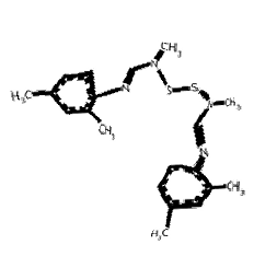 Cc1ccc(N=CN(C)SSN(C)C=Nc2ccc(C)cc2C)c(C)c1